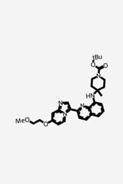 COCCOc1ccn2c(-c3ccc4cccc(NC5(C)CCN(C(=O)OC(C)(C)C)CC5)c4n3)cnc2c1